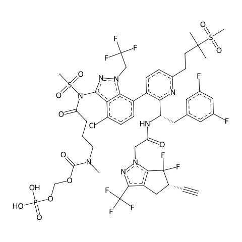 C#C[C@@H]1Cc2c(C(F)(F)F)nn(CC(=O)N[C@@H](Cc3cc(F)cc(F)c3)c3nc(CCC(C)(C)S(C)(=O)=O)ccc3-c3ccc(Cl)c4c(N(C(=O)CCCN(C)C(=O)OCOP(=O)(O)O)S(C)(=O)=O)nn(CC(F)(F)F)c34)c2C1(F)F